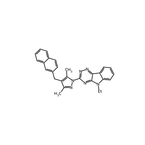 CCn1c2ccccc2c2nnc(-n3nc(C)c(Cc4ccc5ccccc5c4)c3C)nc21